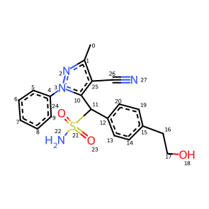 Cc1nn(-c2ccccc2)c(C(c2ccc(CCO)cc2)S(N)(=O)=O)c1C#N